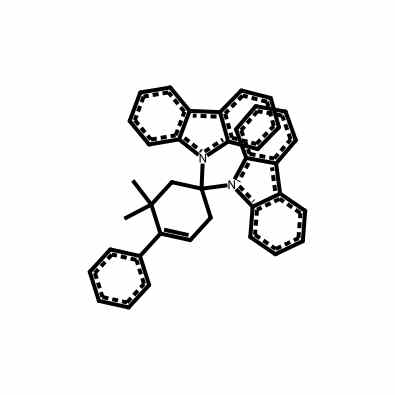 CC1(C)CC(n2c3ccccc3c3ccccc32)(n2c3ccccc3c3ccccc32)CC=C1c1ccccc1